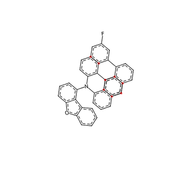 Fc1cccc(-c2cccc3cccc(-c4ccccc4N(c4cccc5ccccc45)c4cccc5oc6ccccc6c45)c23)c1